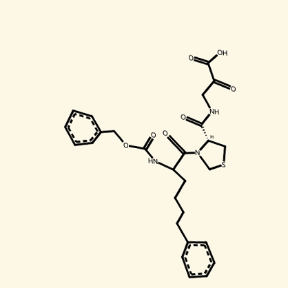 O=C(NC(CCCCc1ccccc1)C(=O)N1CSC[C@H]1C(=O)NCC(=O)C(=O)O)OCc1ccccc1